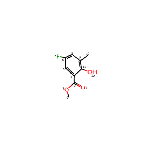 COC(=O)c1cc(F)cc(C)c1O